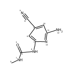 CNC(=O)Nc1cc(C#N)cc(N)n1